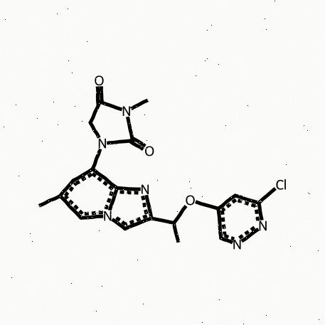 Cc1cc(N2CC(=O)N(C)C2=O)c2nc(C(C)Oc3cnnc(Cl)c3)cn2c1